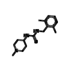 Cc1cccc(C)c1CNC(=O)NC1CCN(C)CC1